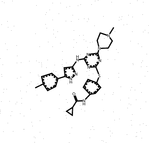 Cc1ccc(-c2cc(Nc3nc(Sc4ccc(NC(=O)C5CC5)cc4)nc(N4CCN(C)CC4)n3)n[nH]2)cc1